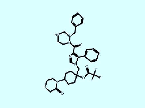 O=C1COCCN1C1CCC(Cn2cnc(C(=O)N3CCNC[C@H]3Cc3ccccc3)c2-c2ccccc2)(OC(=O)C(F)(F)F)CC1